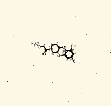 COCC(=O)N1CCC(Oc2c(F)cc(C)cc2F)CC1